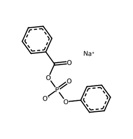 O=C(OP(=O)([O-])Oc1ccccc1)c1ccccc1.[Na+]